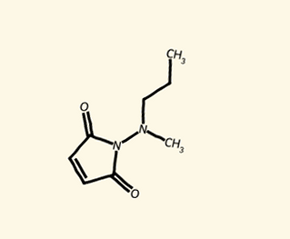 CCCN(C)N1C(=O)C=CC1=O